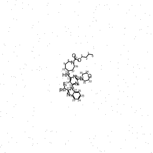 CCCCOC(=O)N1CCCC(Nc2cc(-n3c(C(F)F)nc4ccccc43)nc(N3CCOCC3)n2)CC1